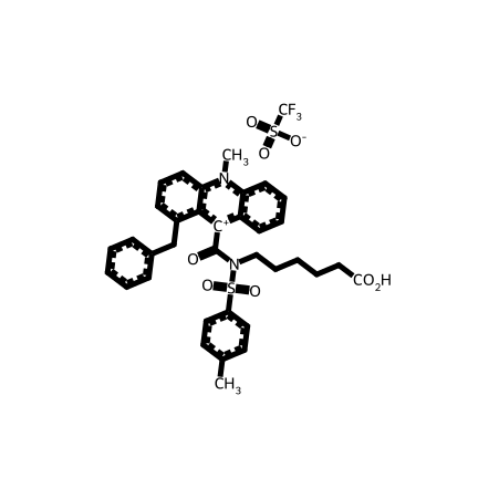 Cc1ccc(S(=O)(=O)N(CCCCCC(=O)O)C(=O)[c+]2c3ccccc3n(C)c3cccc(Cc4ccccc4)c32)cc1.O=S(=O)([O-])C(F)(F)F